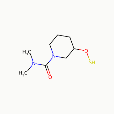 CN(C)C(=O)N1CCCC(OS)C1